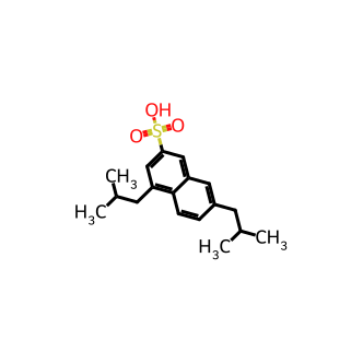 CC(C)Cc1ccc2c(CC(C)C)cc(S(=O)(=O)O)cc2c1